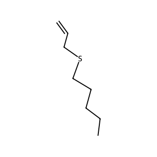 C=CCSCCCCC